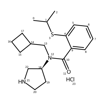 CC(C)Sc1ccccc1C(=O)N(CC1CCC1)[C@H]1CCNC1.Cl